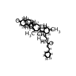 CC1=C2C[C@H]3[C@@H](CC[C@@H]4CC(=O)CC[C@@]43C)[C@@H]2CC[C@@]2(C1)O[C@@H]1C[C@H](C)CC(CCNC(=O)CCc3ccccc3)[C@H]1[C@H]2C